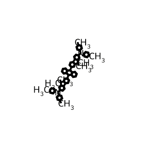 Cc1ccc(N(c2ccc(C)cc2)c2ccc3c(c2)C(C)(C)c2cc(-c4c5ccccc5c(-c5ccc6c(c5)C(C)(C)c5cc(N(c7ccc(C)cc7)c7ccc(C)cc7)ccc5-6)c5ccccc45)ccc2-3)cc1